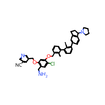 Cc1c(COc2cc(OCc3cncc(C#N)c3)c(CN)cc2Cl)cccc1-c1cccc(-c2ccc3c(c2)CCC3N2CCCC2)c1C